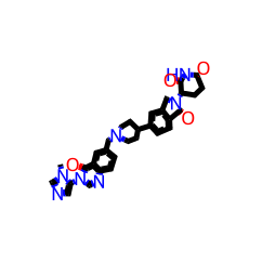 Cn1cncc1-n1cnc2ccc(CN3CCC(c4ccc5c(c4)CN(C4CCC(=O)NC4=O)C5=O)CC3)cc2c1=O